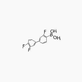 OB(O)c1ccc(-c2ccc(F)c(F)c2)cc1F